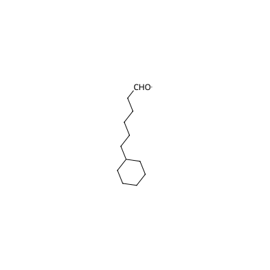 O=[C]CCCCCC1CCCCC1